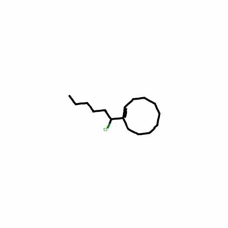 CCCCCC(Cl)C1=CCCCCCCCC1